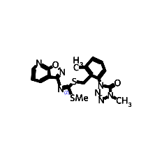 CS/C(=N/c1noc2ncccc12)SCc1c(C)cccc1-n1nnn(C)c1=O